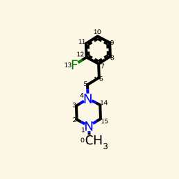 CN1CCN(C[CH]c2ccccc2F)CC1